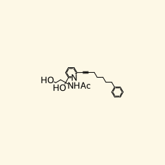 CC(=O)NC(O)(CCO)c1cccc(C#CCCCCCc2ccccc2)n1